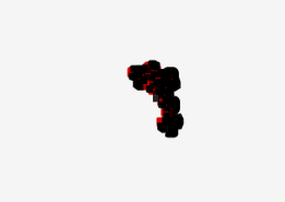 c1ccc(-c2nc(-c3ccc4c(c3)oc3cc(-c5cccc6sc7ccccc7c56)ccc34)nc(-c3cccc4oc5ccc(-c6ccc(-c7cccc8c9ccccc9n(-c9ccccc9)c78)c7oc8ccccc8c67)cc5c34)n2)cc1